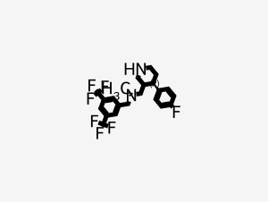 CN(Cc1cc(C(F)(F)F)cc(C(F)(F)F)c1)CC1CNCC[C@H]1c1ccc(F)cc1